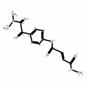 COC(=O)/C=C/C(=O)Oc1ccc(C(=O)C(=O)N(C)C)cc1